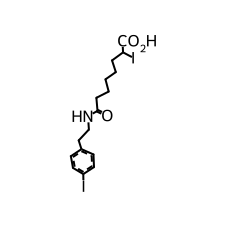 O=C(CCCCCC(I)C(=O)O)NCCc1ccc(I)cc1